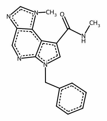 CNC(=O)c1cn(Cc2ccccc2)c2ncc3ncn(C)c3c12